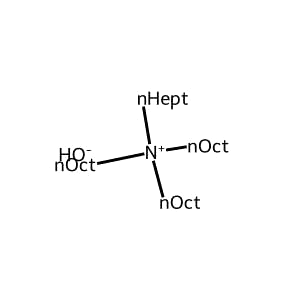 CCCCCCCC[N+](CCCCCCC)(CCCCCCCC)CCCCCCCC.[OH-]